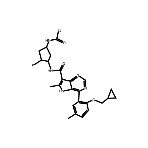 CCC(=O)NC1CC(F)C(NC(=O)c2c(C)[nH]c3c(-c4cc(C)ccc4OCC4CC4)ncnc23)C1